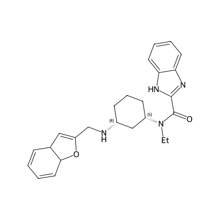 CCN(C(=O)c1nc2ccccc2[nH]1)[C@H]1CCC[C@@H](NCC2=CC3C=CC=CC3O2)C1